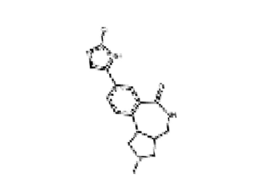 CN1CC2CNC(=O)c3cc(-c4ccc(Cl)[nH]4)ccc3C2C1